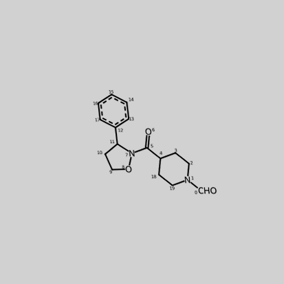 O=CN1CCC(C(=O)N2OCCC2c2ccccc2)CC1